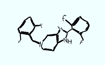 Fc1cccc(F)c1CN1C=Cc2[nH]c(-c3c(F)cccc3F)nc2C1